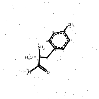 Cc1ccc(C[C@](C)(N)C(N)=O)cc1